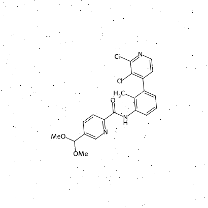 COC(OC)c1ccc(C(=O)Nc2cccc(-c3ccnc(Cl)c3Cl)c2C)nc1